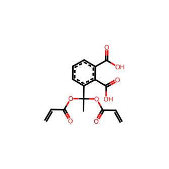 C=CC(=O)OC(C)(OC(=O)C=C)c1cccc(C(=O)O)c1C(=O)O